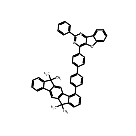 CC1(C)c2ccccc2-c2cc3c(cc21)-c1c(-c2ccc(-c4ccc(-c5nc(-c6ccccc6)nc6c5oc5ccccc56)cc4)cc2)cccc1C3(C)C